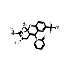 CCNC(=S)N(C)CC1=C(n2ccccc2=O)c2cc(C(F)(F)C(F)(F)F)ccc2OC1(C)C